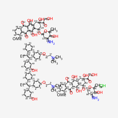 CCC(=C(c1ccc(OCCN(C)C)cc1)c1cccc(O)c1)c1ccccc1.CCC(=C(c1ccc(OCCN(C)C)cc1)c1cccc(O)c1)c1ccccc1.COc1cccc2c1C(=O)c1c(O)c3c(c(O)c1C2=O)C[C@@](O)(C(=O)CO)C[C@@H]3O[C@H]1C[C@H](N)[C@H](O)[C@H](C)O1.COc1cccc2c1C(=O)c1c(O)c3c(c(O)c1C2=O)C[C@@](O)(C(=O)CO)C[C@@H]3O[C@H]1C[C@H](N)[C@H](O)[C@H](C)O1.Cl